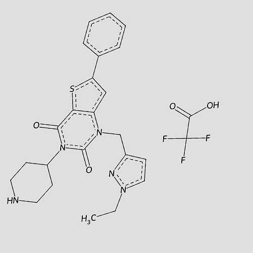 CCn1ccc(Cn2c(=O)n(C3CCNCC3)c(=O)c3sc(-c4ccccc4)cc32)n1.O=C(O)C(F)(F)F